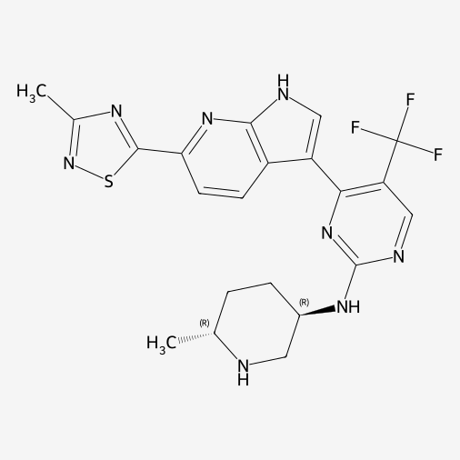 Cc1nsc(-c2ccc3c(-c4nc(N[C@@H]5CC[C@@H](C)NC5)ncc4C(F)(F)F)c[nH]c3n2)n1